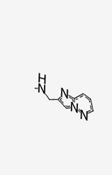 CNCc1cn2ncccc2n1